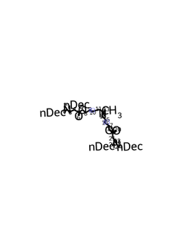 CCCCCCCCCCN(CCCCCCCCCC)CCC(=O)OC/C=C/CN(C)C/C=C/COC(=O)CCN(CCCCCCCCCC)CCCCCCCCCC